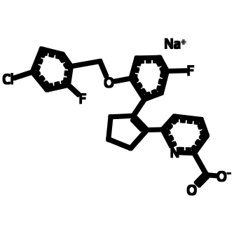 O=C([O-])c1cccc(C2=C(c3cc(F)ccc3OCc3ccc(Cl)cc3F)CCC2)n1.[Na+]